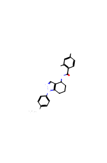 COc1ccc(-n2ncc3c2CCCC3NC(=O)c2ccc(C)cc2C)cc1